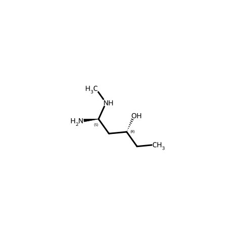 CC[C@@H](O)C[C@@H](N)NC